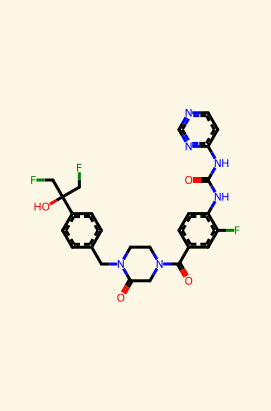 O=C(Nc1ccncn1)Nc1ccc(C(=O)N2CCN(Cc3ccc(C(O)(CF)CF)cc3)C(=O)C2)cc1F